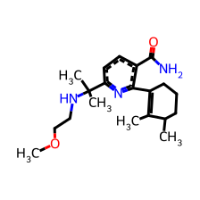 COCCNC(C)(C)c1ccc(C(N)=O)c(C2=C(C)C(C)CCC2)n1